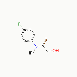 CC(C)N(C(=S)CO)c1ccc(F)cc1